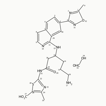 Cc1nc(-c2ccc3ccnc(NC(CCCN)CC(=O)Nc4nc(C)c(C(=O)O)s4)c3c2)no1.O=CO